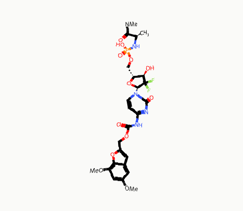 CNC(=O)[C@H](C)NP(=O)(O)OC[C@H]1O[C@@H](n2ccc(NC(=O)OCc3cc4cc(OC)cc(OC)c4o3)nc2=O)C(F)(F)[C@@H]1O